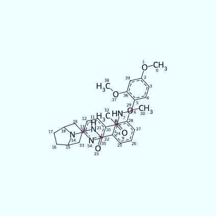 COc1ccc(CNC(=O)c2ccc(N3C4CCC3CC(NC(=O)c3cccc(OC)c3C)C4)nc2)c(OC)c1